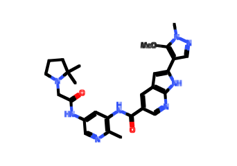 COc1c(-c2cc3cc(C(=O)Nc4cc(NC(=O)CN5CCCC5(C)C)cnc4C)cnc3[nH]2)cnn1C